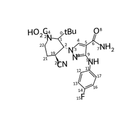 CC(C)(C)C1[C@H](n2cc(C(N)=O)c(Nc3ccc(F)cc3)n2)[C@@H](C#N)CCN1C(=O)O